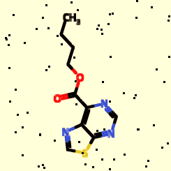 CCCCOC(=O)c1ncnc2scnc12